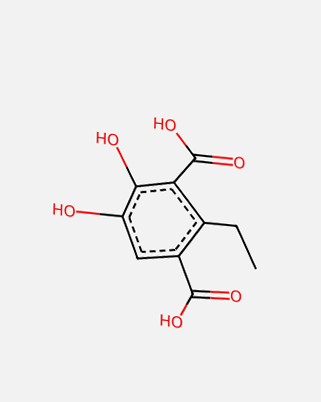 CCc1c(C(=O)O)cc(O)c(O)c1C(=O)O